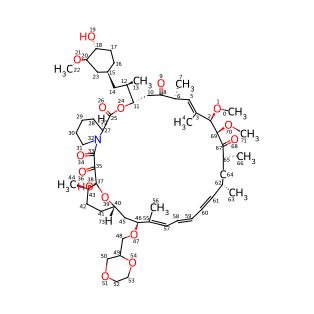 CO[C@@H]1/C(C)=C/[C@@H](C)C(=O)C[C@@H]([C@H](C)C[C@@H]2CC[C@@H](O)[C@H](OC)C2)OC(=O)[C@@H]2CCCCN2C(=O)C(=O)[C@]2(O)O[C@@H](CC[C@H]2C)C[C@H](OCC2COCCO2)/C(C)=C/C=C/C=C/[C@@H](C)C[C@@H](C)C(=O)[C@@H]1OC